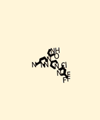 N#Cc1ccc(N(C2CCN(c3ncc(C(F)(F)F)cc3Cl)CC2)[C@H]2CCNC2=O)nn1